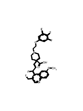 COc1ccc2ncc(CF)c(C(F)CCC3(C(=O)O)CCN(CCOc4cc(F)c(F)c(F)c4)CC3)c2c1